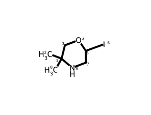 CC1(C)COC(I)CN1